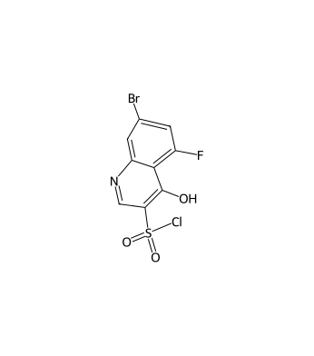 O=S(=O)(Cl)c1cnc2cc(Br)cc(F)c2c1O